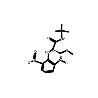 CSC[C@@H](Nc1c([N+](=O)[O-])cccc1[N+](=O)[O-])C(=O)NC(C)(C)C